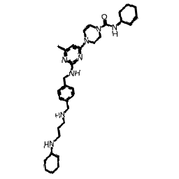 Cc1cc(N2CCN(C(=O)NC3CCCCC3)CC2)nc(NCc2ccc(CNCCCNC3CCCCC3)cc2)n1